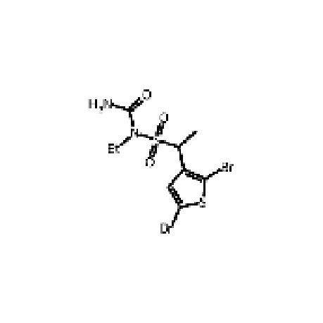 CCN(C(N)=O)S(=O)(=O)C(C)c1cc(Br)sc1Br